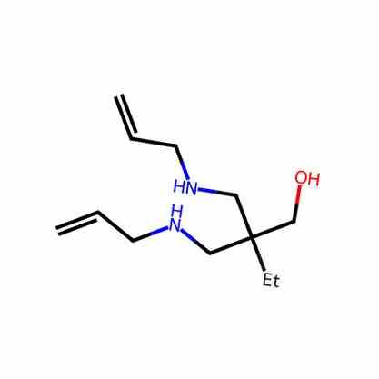 C=CCNCC(CC)(CO)CNCC=C